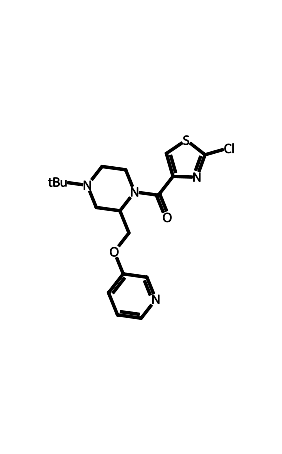 CC(C)(C)N1CCN(C(=O)c2csc(Cl)n2)C(COc2cccnc2)C1